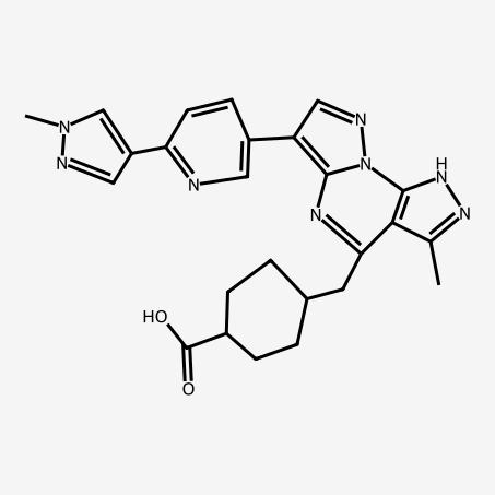 Cc1n[nH]c2c1c(CC1CCC(C(=O)O)CC1)nc1c(-c3ccc(-c4cnn(C)c4)nc3)cnn12